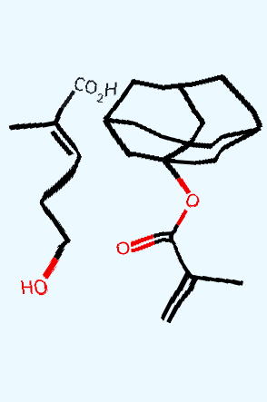 C=C(C)C(=O)OC12CC3CC(CC(C3)C1)C2.CC(=CCCO)C(=O)O